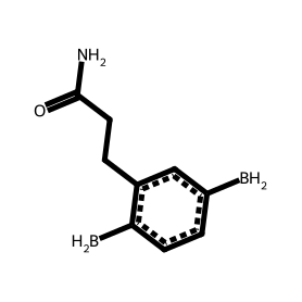 Bc1ccc(B)c(CCC(N)=O)c1